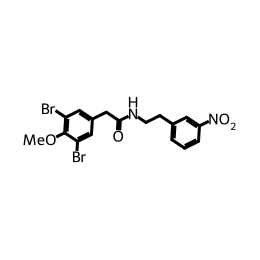 COc1c(Br)cc(CC(=O)NCCc2cccc([N+](=O)[O-])c2)cc1Br